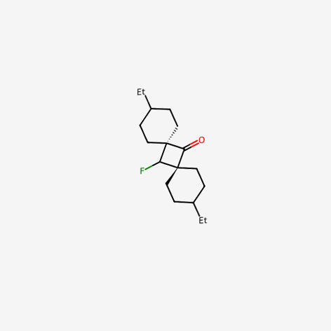 CCC1CC[C@]2(CC1)C(=O)[C@@]1(CCC(CC)CC1)C2F